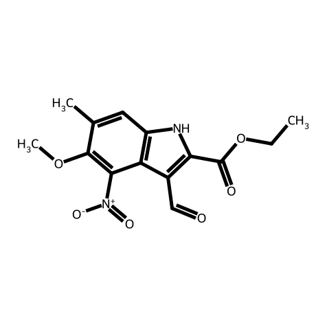 CCOC(=O)c1[nH]c2cc(C)c(OC)c([N+](=O)[O-])c2c1C=O